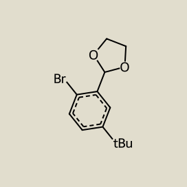 CC(C)(C)c1ccc(Br)c(C2OCCO2)c1